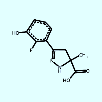 CC1(C(=O)O)CC(c2cccc(O)c2F)=NN1